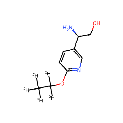 [2H]C([2H])([2H])C([2H])([2H])Oc1ccc([C@@H](N)CO)cn1